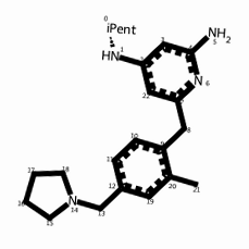 CCC[C@@H](C)Nc1cc(N)nc(Cc2ccc(CN3CCCC3)cc2C)c1